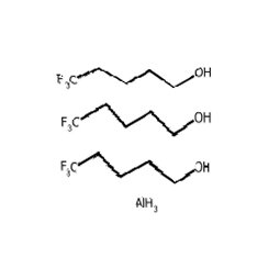 OCCCCC(F)(F)F.OCCCCC(F)(F)F.OCCCCC(F)(F)F.[AlH3]